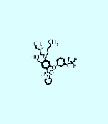 CCCCN(CCCC)c1cc(Oc2cccc(OC(F)(F)F)c2)c(S(=O)(=O)N2CCCC2)cc1CO